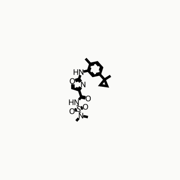 Cc1ccc(C2(C)CC2)cc1Nc1nc(C(=O)NS(=O)(=O)N(C)C)co1